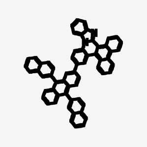 c1ccc2cc(-c3c4ccccc4c(-c4ccc5ccccc5c4)c4cc(-c5ccc6c(c5)c5c7ccccc7c7ccccc7c5c5nc7ccccc7n65)ccc34)ccc2c1